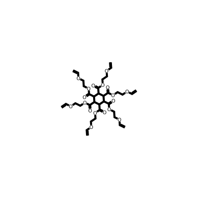 C=COCCOC(=O)C1C(C(=O)OCCOC=C)C(C(=O)OCCOC=C)C(C(=O)OCCOC=C)C(C(=O)OCCOC=C)C1C(=O)OCCOC=C